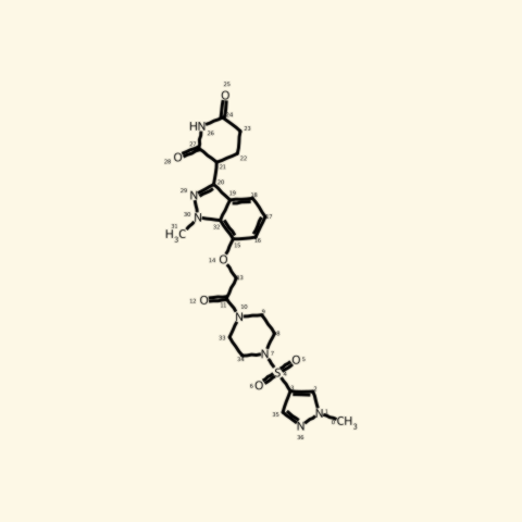 Cn1cc(S(=O)(=O)N2CCN(C(=O)COc3cccc4c(C5CCC(=O)NC5=O)nn(C)c34)CC2)cn1